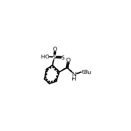 CC(C)(C)NC(=O)c1ccccc1S(=O)(O)=S